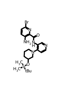 CC(C)(C)[Si](C)(C)OC1CCCN(c2ccncc2NC(=O)c2nc(Br)ccc2N)C1